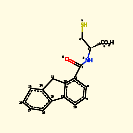 O=C(N[C@H](CS)C(=O)O)c1cccc2c1Cc1ccccc1-2